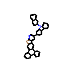 c1ccc2cc(-n3c4ccccc4c4ccc(-c5cnc6sc7cc8c9ccccc9c9ccccc9c8cc7c6c5)cc43)ccc2c1